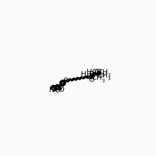 CC(CC(C)(C)C)C(C)(C)C(=O)OCCCCCCCCCCCOc1ccc(-c2cc3ccncc3oc2=O)cc1